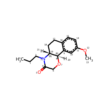 CCCN1C(=O)CO[C@@H]2c3cc(OC)ccc3CC[C@H]21